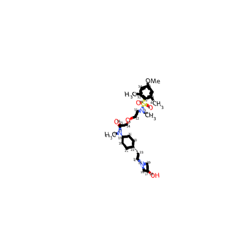 COc1cc(C)c(S(=O)(=O)N(C)CCOCC(=O)N(C)[C@H]2CC[C@@H](CCN3CC(O)C3)CC2)c(C)c1